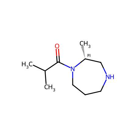 CC(C)C(=O)N1CCCNC[C@H]1C